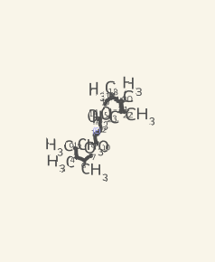 CC(C)C(C)C(C)COC(=O)/C=C/C(=O)OCC(C)C(C)C(C)C